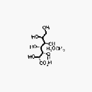 O.O.O=C(O)[C@H](O)[C@@H](O)[C@H](O)[C@H](O)C(O)CO